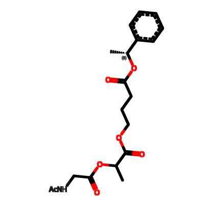 CC(=O)NCC(=O)OC(C)C(=O)OCCCC(=O)O[C@H](C)c1ccccc1